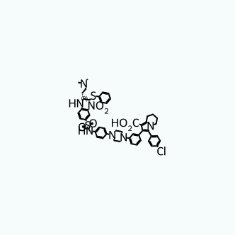 CN(C)CC[C@H](CSc1ccccc1)Nc1ccc(S(=O)(=O)Nc2ccc(N3CCN(c4cccc(-c5c(C(=O)O)c6n(c5-c5ccc(Cl)cc5)CCCC6)c4)CC3)cc2)cc1[N+](=O)[O-]